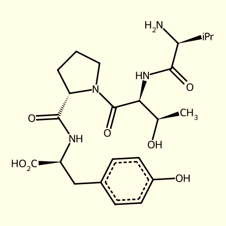 CC(C)[C@H](N)C(=O)N[C@H](C(=O)N1CCC[C@H]1C(=O)N[C@@H](Cc1ccc(O)cc1)C(=O)O)[C@@H](C)O